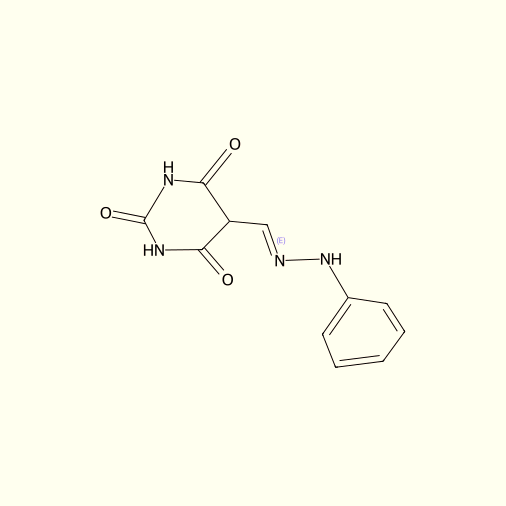 O=C1NC(=O)C(/C=N/Nc2ccccc2)C(=O)N1